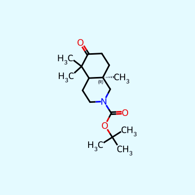 CC(C)(C)OC(=O)N1CCC2C(C)(C)C(=O)CC[C@@]2(C)C1